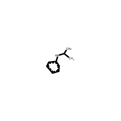 CC(=O)OC(C)Nc1ccccc1